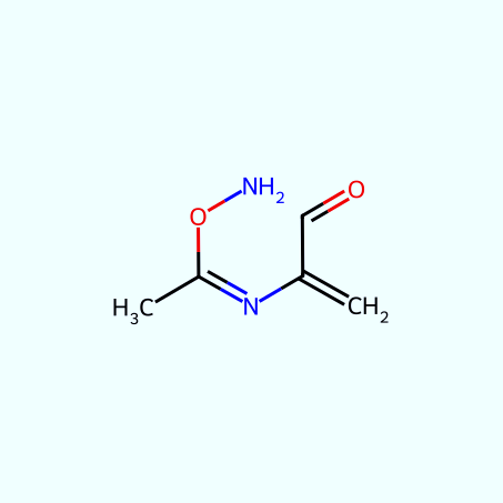 C=C(C=O)/N=C(/C)ON